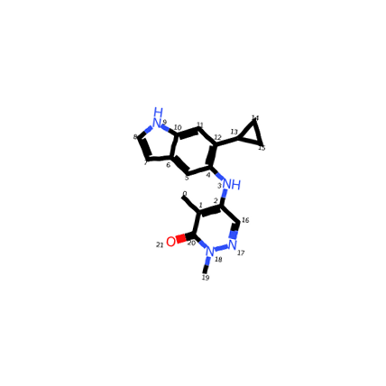 Cc1c(Nc2cc3cc[nH]c3cc2C2CC2)cnn(C)c1=O